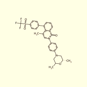 Cc1cn(-c2ccc(N3CC(C)O[C@@H](C)C3)cc2)c(=O)c2cccc(-c3ccc(S(=O)(=O)C(F)(F)F)cc3)c12